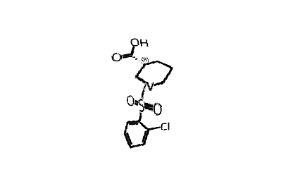 O=C(O)[C@@H]1CCCN(S(=O)(=O)c2ccccc2Cl)C1